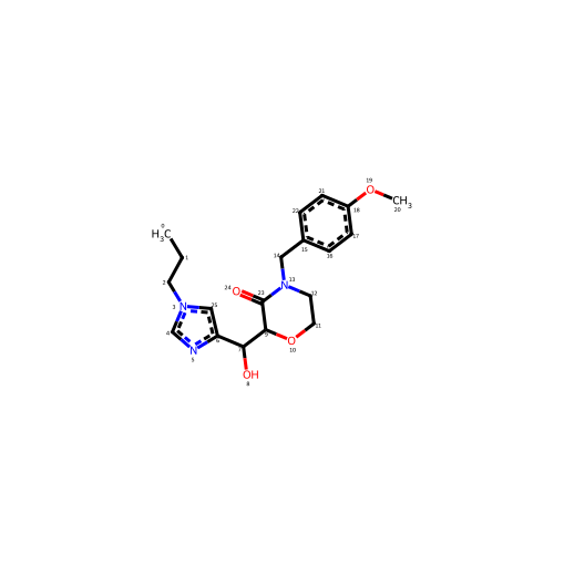 CCCn1cnc(C(O)C2OCCN(Cc3ccc(OC)cc3)C2=O)c1